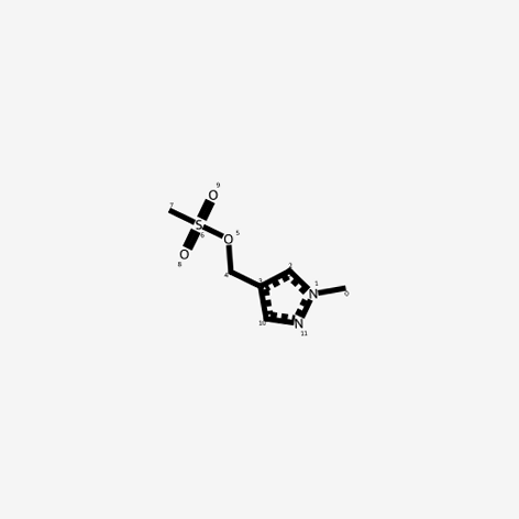 Cn1cc(COS(C)(=O)=O)cn1